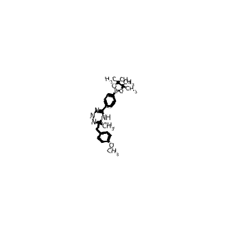 COc1ccc(CC2(C)N=NN=C(c3ccc(B4OC(C)(C)C(C)(C)O4)cc3)N2)cc1